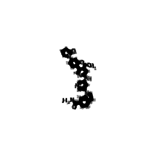 CC1Oc2cc(N3CCCC3=O)ccc2-c2cnc(Nc3cncc(-n4ccc5ccc(C(N)=O)cc54)c3)cc21